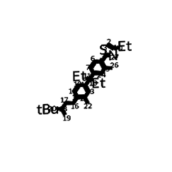 CCc1csc(-c2ccc(C(CC)(CC)c3ccc(CCC(C)C(C)(C)C)c(C)c3)cc2C)n1